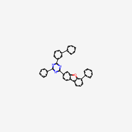 c1ccc(-c2cccc(-c3nc(-c4ccccc4)nc(-c4ccc5c(c4)oc4c(-c6ccccc6)cccc45)n3)c2)cc1